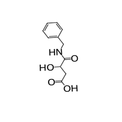 O=C(O)CC(O)C(=O)NCc1ccccc1